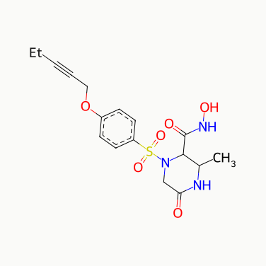 CCC#CCOc1ccc(S(=O)(=O)N2CC(=O)NC(C)C2C(=O)NO)cc1